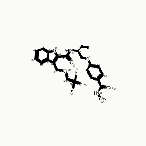 CC[C@@H](COc1ccc(C(=O)NO)cc1)NC(=O)c1oc2ccccc2c1COCC(F)(F)F